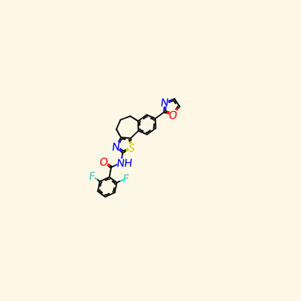 O=C(Nc1nc2c(s1)-c1ccc(-c3ncco3)cc1CCC2)c1c(F)cccc1F